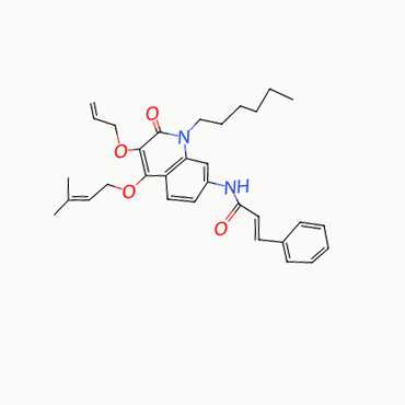 C=CCOc1c(OCC=C(C)C)c2ccc(NC(=O)C=Cc3ccccc3)cc2n(CCCCCC)c1=O